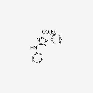 CCOC(=O)c1nc(Nc2ccccc2)sc1-c1ccncc1